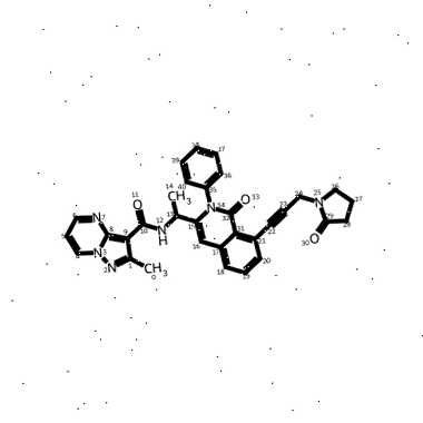 Cc1nn2cccnc2c1C(=O)NC(C)c1cc2cccc(C#CCN3CCCC3=O)c2c(=O)n1-c1ccccc1